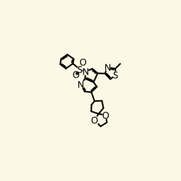 Cc1nc(-c2cn(S(=O)(=O)c3ccccc3)c3ncc(C4CCC5(CC4)OCCO5)cc23)cs1